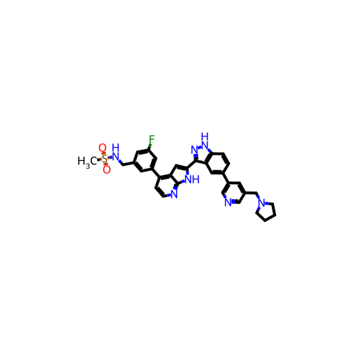 CS(=O)(=O)NCc1cc(F)cc(-c2ccnc3[nH]c(-c4n[nH]c5ccc(-c6cncc(CN7CCCC7)c6)cc45)cc23)c1